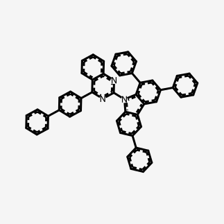 c1ccc(-c2ccc(-c3nc(-n4c5ccc(-c6ccccc6)cc5c5cc(-c6ccccc6)cc(-c6ccccc6)c54)nc4ccccc34)cc2)cc1